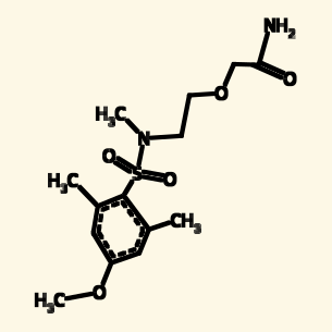 COc1cc(C)c(S(=O)(=O)N(C)CCOCC(N)=O)c(C)c1